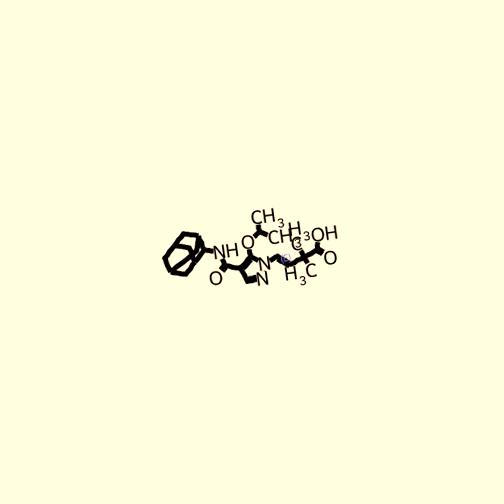 CC(C)Oc1c(C(=O)NC2C3CC4CC(C3)CC2C4)cnn1/C=C/C(C)(C)C(=O)O